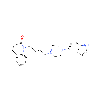 O=C1CCc2ccccc2N1CCCCN1CCN(c2ccc3[nH]ccc3c2)CC1